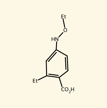 CCONc1ccc(C(=O)O)c(CC)c1